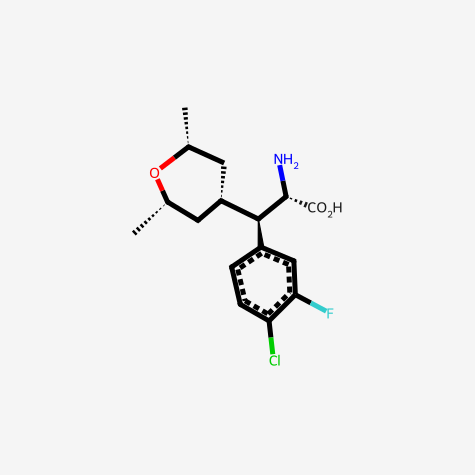 C[C@@H]1C[C@H]([C@H](c2ccc(Cl)c(F)c2)[C@H](N)C(=O)O)C[C@H](C)O1